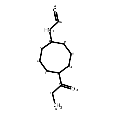 CCC(=O)C1CCCC(NC=O)CCC1